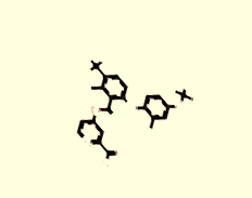 Cc1cc(OC(F)(F)F)ccc1Oc1ccc(C(F)(F)F)c(C)c1C(=O)Nc1ccnc(C(N)=O)c1